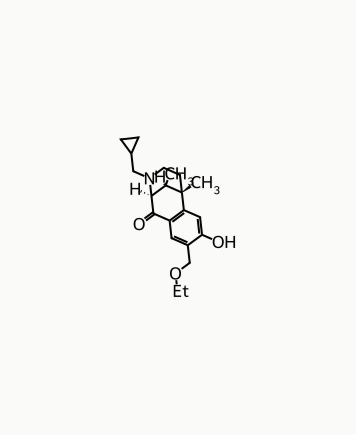 CCOCc1cc2c(cc1O)[C@@]1(C)CCN(CC3CC3)[C@H](C2=O)[C@@H]1C